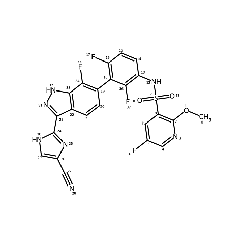 COc1ncc(F)cc1S(=O)(=O)Nc1ccc(F)c(-c2ccc3c(-c4nc(C#N)c[nH]4)n[nH]c3c2F)c1F